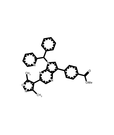 COC(=O)c1ccc(-c2cn(C(c3ccccc3)c3ccccn3)c3nc(-c4c(C)noc4C)cnc23)cc1